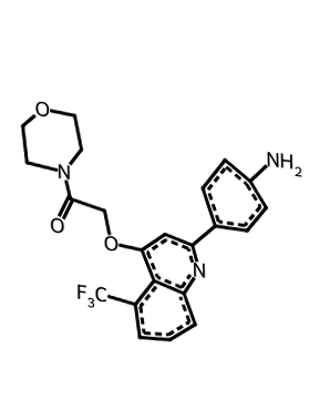 Nc1ccc(-c2cc(OCC(=O)N3CCOCC3)c3c(C(F)(F)F)cccc3n2)cc1